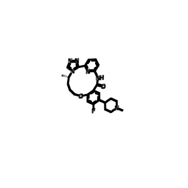 C[C@H]1CCCOc2cc(F)c(C3CCN(C)CC3)cc2C(=O)Nc2cccc(n2)-c2nncn21